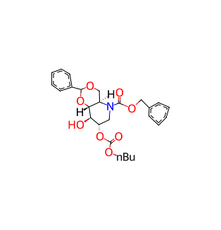 CCCCOC(=O)O[C@H]1CN(C(=O)OCc2ccccc2)[C@@H]2COC(c3ccccc3)O[C@H]2[C@@H]1O